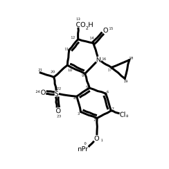 CCCOc1cc2c(cc1Cl)-c1c(cc(C(=O)O)c(=O)n1C1CC1)C(C)S2(=O)=O